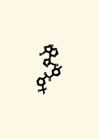 Cc1ccc(NC(=O)c2cccc(C(F)(F)F)c2)cc1Nc1nccn1-c1ncnc2[nH]nc(Br)c12